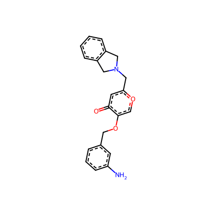 Nc1cccc(COc2coc(CN3Cc4ccccc4C3)cc2=O)c1